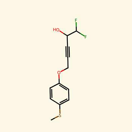 CSc1ccc(OCC#CC(O)C(F)F)cc1